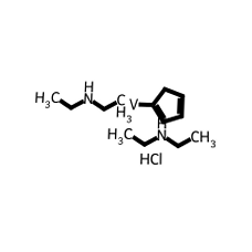 CCNCC.CCNCC.Cl.[V][C]1=CC=CC1